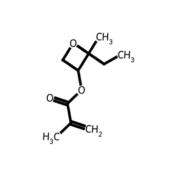 C=C(C)C(=O)OC1COC1(C)CC